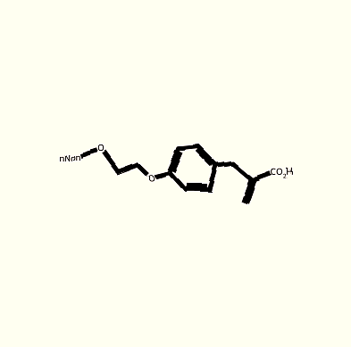 C=C(Cc1ccc(OCCOCCCCCCCCC)cc1)C(=O)O